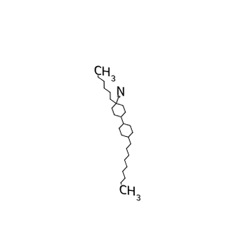 CCCCCCCCCC1CCC(C2CCC(C#N)(CCCCCC)CC2)CC1